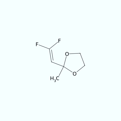 CC1(C=C(F)F)OCCO1